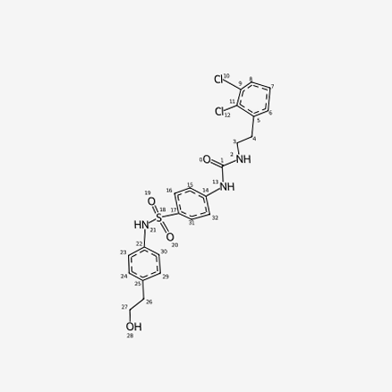 O=C(NCCc1cccc(Cl)c1Cl)Nc1ccc(S(=O)(=O)Nc2ccc(CCO)cc2)cc1